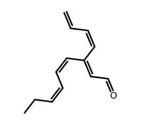 C=C\C=C/C(/C=C\C=C/CC)=C\C=O